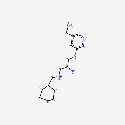 CCc1cncc(OC[C@@H](N)CNCC2CCCCC2)c1